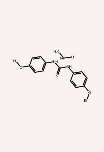 CCOc1ccc(NC(=S)Nc2ccc(OCC)cc2)cc1.C[CH2][AlH][CH3]